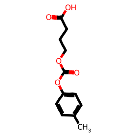 Cc1ccc(OC(=O)OCCCC(=O)O)cc1